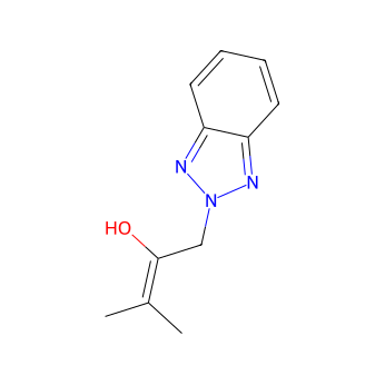 CC(C)=C(O)Cn1nc2ccccc2n1